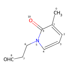 Cc1cccn(CCC=O)c1=O